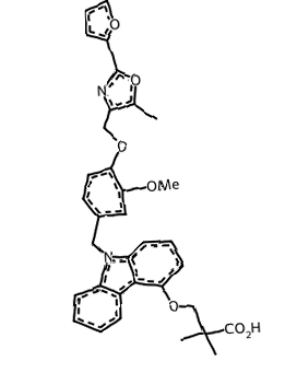 COc1cc(Cn2c3ccccc3c3c(OCC(C)(C)C(=O)O)cccc32)ccc1OCc1nc(-c2ccco2)oc1C